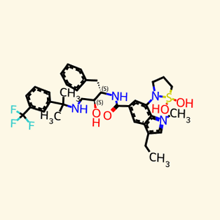 CCc1cn(C)c2c(N3CCCS3(O)O)cc(C(=O)N[C@@H](Cc3ccccc3)[C@@H](O)CNC(C)(C)c3cccc(C(F)(F)F)c3)cc12